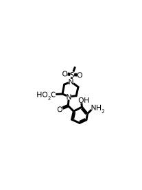 CS(=O)(=O)N1CCN(C(=O)c2cccc(N)c2O)C(C(=O)O)C1